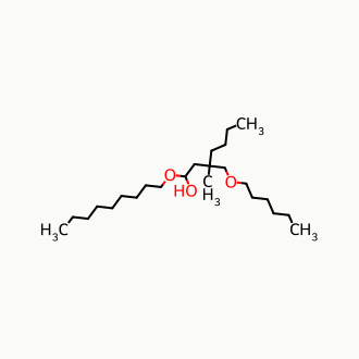 CCCCCCCCCOC(O)CC(C)(CCCC)COCCCCCC